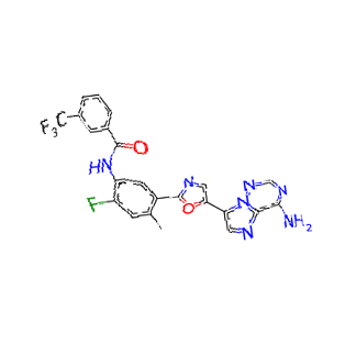 Cc1cc(F)c(NC(=O)c2cccc(C(F)(F)F)c2)cc1-c1ncc(-c2cnc3c(N)ncnn23)o1